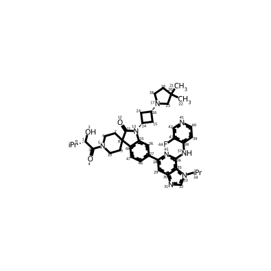 CC(C)[C@H](O)C(=O)N1CCC2(CC1)C(=O)N([C@H]1C[C@@H](N3CCC(C)(C)C3)C1)c1cc(-c3cc4ncn(C(C)C)c4c(Nc4ccncc4F)n3)ccc12